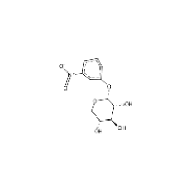 O=[N+]([O-])c1cccc(O[C@H]2OC[C@@H](O)[C@H](O)[C@H]2O)c1